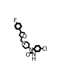 O=c1[nH]c2cc(Cl)ccc2n1C1CCN(CC2CC(c3ccc(F)cc3)CO2)CC1